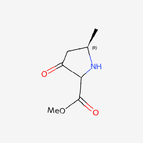 COC(=O)C1N[C@H](C)CC1=O